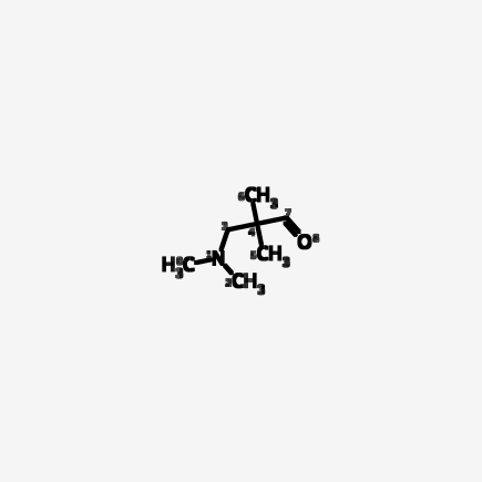 CN(C)CC(C)(C)C=O